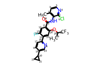 Cc1ccnc(Cl)c1NC(=O)c1cc(F)c(-c2ccc(C3CC3)cn2)cc1OC(C)C(F)(F)F